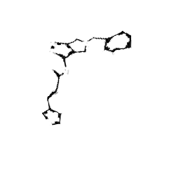 O=C(C=Cc1ccsc1)Nc1n[nH]c2c1CN(Cc1ccccc1)C2